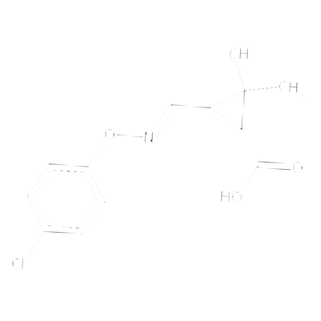 CC1(C)C(C=NOc2ccc(Cl)cc2)[C@H]1C(=O)O